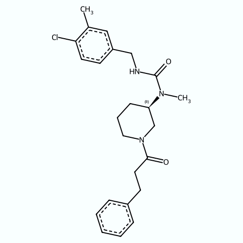 Cc1cc(CNC(=O)N(C)[C@@H]2CCCN(C(=O)CCc3ccccc3)C2)ccc1Cl